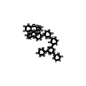 c1ccc(-c2cc(-c3cccc(-c4cccc(-c5ccc6c(c5)C5(c7ccccc7Oc7ccccc75)c5ncccc5-6)c4)c3)nc(-c3ccccc3)n2)cc1